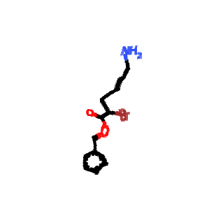 NCCCCC(Br)C(=O)OCc1ccccc1